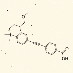 COCC1CCC(C)(C)c2ccc(C#Cc3ccc(C(=O)O)cc3)cc21